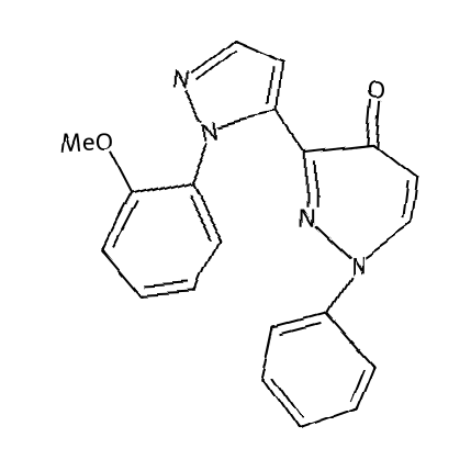 COc1ccccc1-n1nccc1-c1nn(-c2ccccc2)ccc1=O